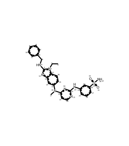 CCn1c(NCc2ccccc2)nc2cc(N(C)c3ccnc(Nc4cccc(S(N)(=O)=O)c4)n3)ccc21